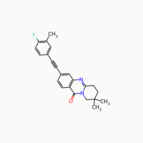 Cc1cc(C#Cc2ccc3c(=O)n4c(nc3c2)CCC(C)(C)C4)ccc1F